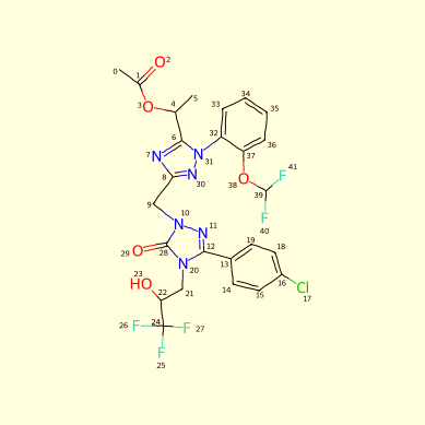 CC(=O)OC(C)c1nc(Cn2nc(-c3ccc(Cl)cc3)n(CC(O)C(F)(F)F)c2=O)nn1-c1ccccc1OC(F)F